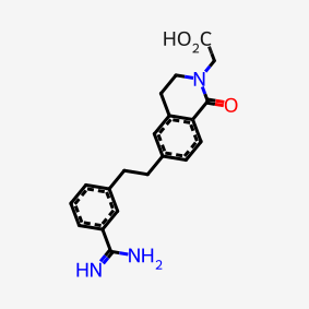 N=C(N)c1cccc(CCc2ccc3c(c2)CCN(CC(=O)O)C3=O)c1